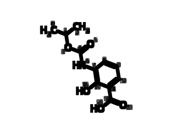 CC(C)OC(=O)Nc1cccc(C(=O)O)c1O